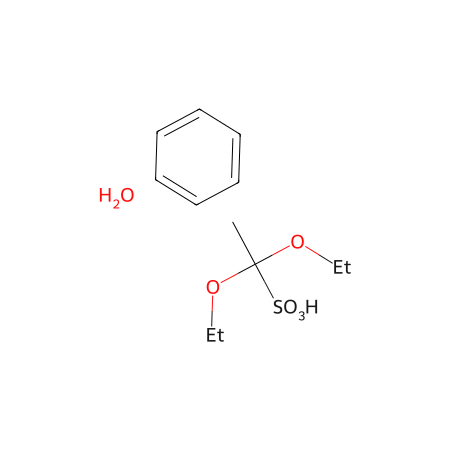 CCOC(C)(OCC)S(=O)(=O)O.O.c1ccccc1